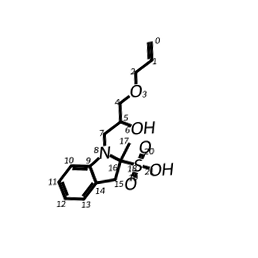 C=CCOCC(O)CN1c2ccccc2CC1(C)S(=O)(=O)O